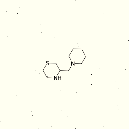 C1CCN(CC2CSCCN2)CC1